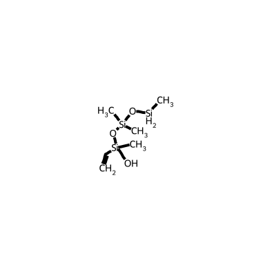 C=C[Si](C)(O)O[Si](C)(C)O[SiH2]C